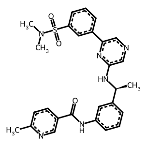 Cc1ccc(C(=O)Nc2cccc([C@H](C)Nc3cncc(-c4cccc(S(=O)(=O)N(C)C)c4)n3)c2)cn1